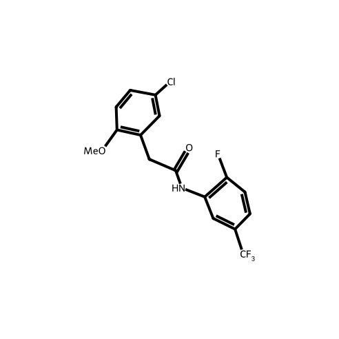 COc1ccc(Cl)cc1CC(=O)Nc1cc(C(F)(F)F)ccc1F